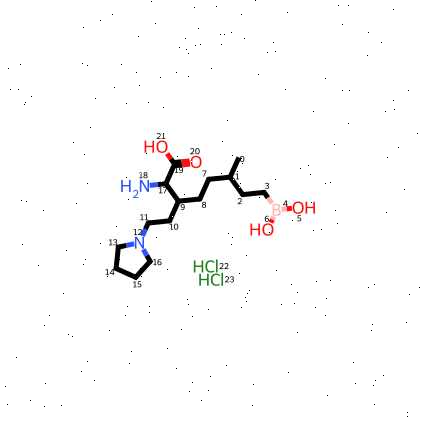 CC(CCB(O)O)CCC(CCN1CCCC1)C(N)C(=O)O.Cl.Cl